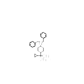 CC(O)(C1CCC(N(Cc2ccccc2)Cc2ccccc2)CC1)C1CC1